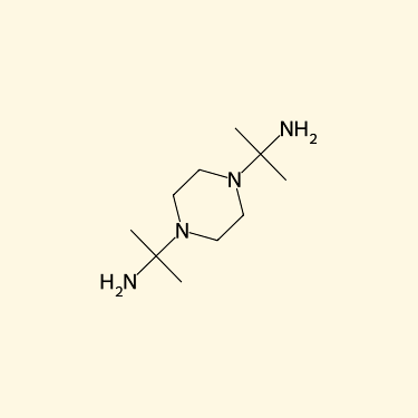 CC(C)(N)N1CCN(C(C)(C)N)CC1